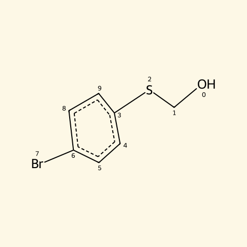 OCSc1ccc(Br)cc1